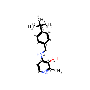 Cc1nccc(NCc2ccc(C(C)(C)C)cc2)c1O